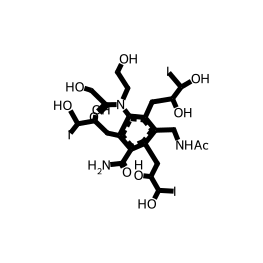 CC(=O)NCc1c(CC(O)C(O)I)c(C(N)=O)c(CC(O)C(O)I)c(N(CCO)C(=O)CO)c1CC(O)C(O)I